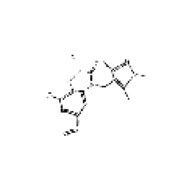 C=Cc1cc(F)c2c(c1)N(Cc1c(C)nn(C)c1C)C(=O)[C@@H](C)O2